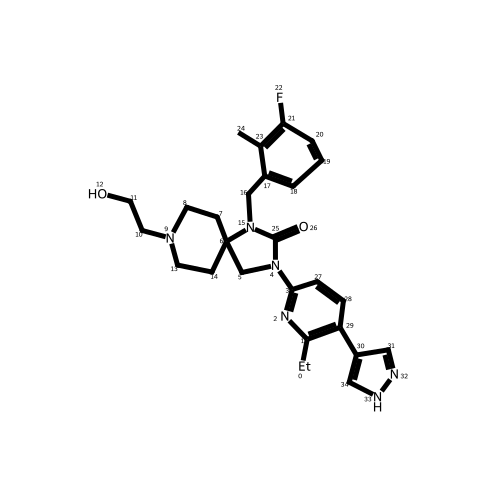 CCc1nc(N2CC3(CCN(CCO)CC3)N(Cc3cccc(F)c3C)C2=O)ccc1-c1cn[nH]c1